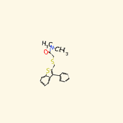 CN(C)C(=O)CSCc1sc2ccccc2c1-c1ccccc1